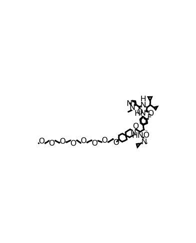 CCn1nccc1C(=O)N[C@H](C(=O)Nc1ccc([C@H](C)[C@@H](NC(=O)N(C)C2CC2)C(=O)N2CCC3(CCC(OCCOCCOCCOCCOCCOCCOCCOC)CC3)CC2)cc1F)C(C1CC1)C1CC1